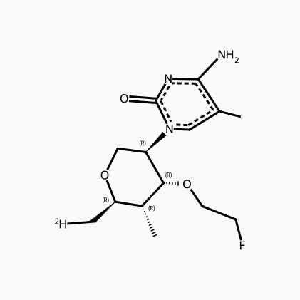 [2H]C[C@H]1OC[C@@H](n2cc(C)c(N)nc2=O)[C@H](OCCF)[C@@H]1C